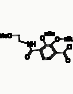 CCCCOc1c(C(=O)Cl)ccc(C(=O)NCCOC)c1OCCCC